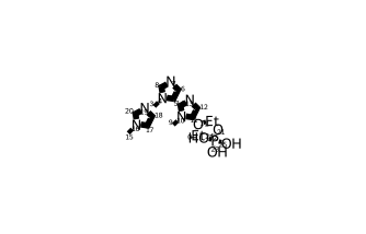 CCOCC.Cn1ccnc1.Cn1ccnc1.Cn1ccnc1.O=P(O)(O)O